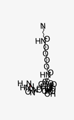 C=NCCCCCC(=O)NCCOCCOCCOCCOCCC(=O)NCC(C)(C)SSCOC1C[C@H](n2cnc3c(=O)[nH]c(N)nc32)O[C@@H]1COP(=O)(O)OP(=O)(O)OP(=O)(O)O